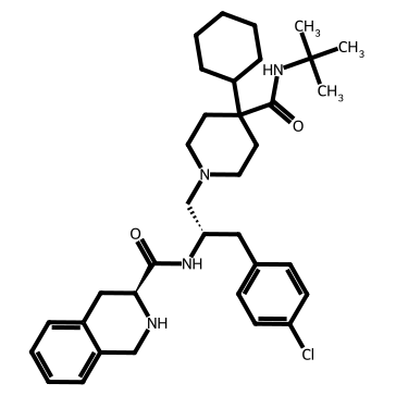 CC(C)(C)NC(=O)C1(C2CCCCC2)CCN(C[C@H](Cc2ccc(Cl)cc2)NC(=O)[C@@H]2Cc3ccccc3CN2)CC1